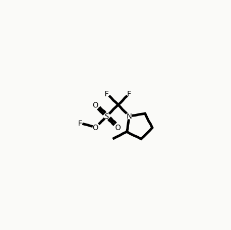 CC1CCCN1C(F)(F)S(=O)(=O)OF